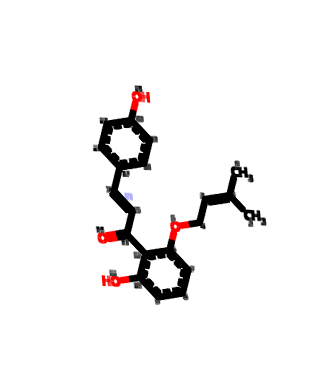 CC(C)=CCOc1cccc(O)c1C(=O)/C=C/c1ccc(O)cc1